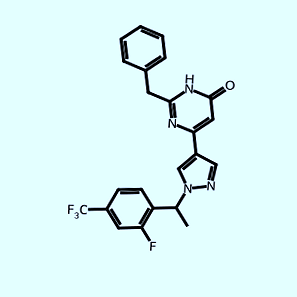 CC(c1ccc(C(F)(F)F)cc1F)n1cc(-c2cc(=O)[nH]c(Cc3ccccc3)n2)cn1